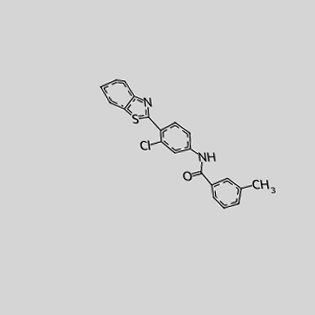 Cc1cccc(C(=O)Nc2ccc(-c3nc4ccccc4s3)c(Cl)c2)c1